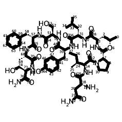 CCC[C@H](NC(=O)[C@@H]1CCCN1C(=O)[C@@H](NC(=O)[C@H](N)CC(N)=O)[C@@H](C)CC)C(=O)N[C@@H](CC(C)C)C(=O)N[C@@H](Cc1ccc(O)cc1)C(=O)N[C@H](CO)C(=O)N[C@@H](Cc1ccccc1)C(=O)N[C@@H](C)C(=O)N[C@H](CO)C(N)=O